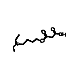 CCN(CC)CCCCOC(=O)CC(=O)O